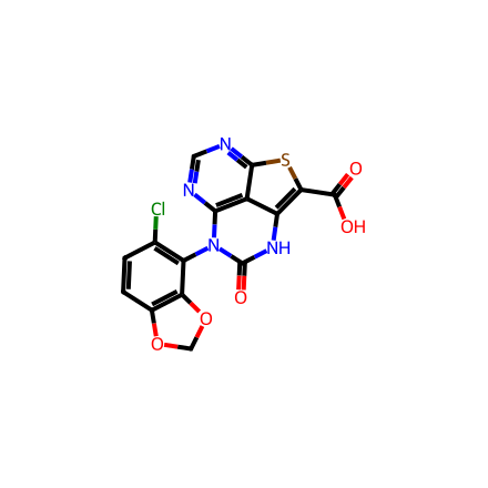 O=C(O)c1sc2ncnc3c2c1NC(=O)N3c1c(Cl)ccc2c1OCO2